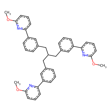 COc1cccc(-c2cccc(CC(Cc3cccc(-c4cccc(OC)n4)c3)Cc3cccc(-c4cccc(OC)n4)c3)c2)n1